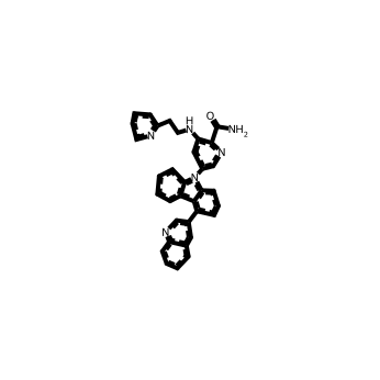 NC(=O)c1ncc(-n2c3ccccc3c3c(-c4cnc5ccccc5c4)cccc32)cc1NCCc1ccccn1